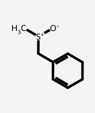 C[S+]([O-])CC1=CCCC=C1